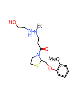 CCN(CCC(=O)N1CCSC1COc1ccccc1OC)NCCO